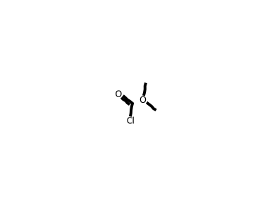 COC.O=CCl